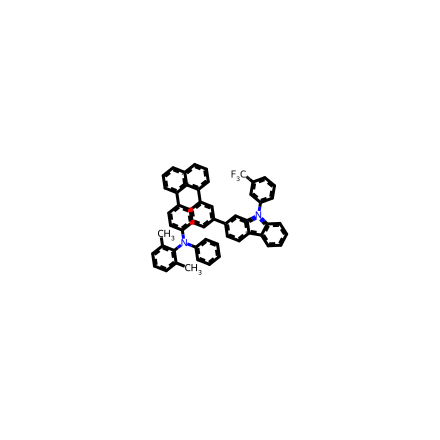 Cc1cccc(C)c1N(c1ccccc1)c1ccc(-c2cccc3cccc(-c4cccc(-c5ccc6c7ccccc7n(-c7cccc(C(F)(F)F)c7)c6c5)c4)c23)cc1